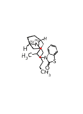 CCCCCC1C[C@H]2CC[C@@H](C1)N2CC(C)Cn1c(=O)sc2ccccc21